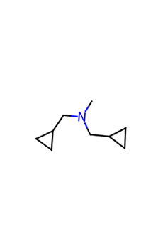 CN(CC1CC1)CC1CC1